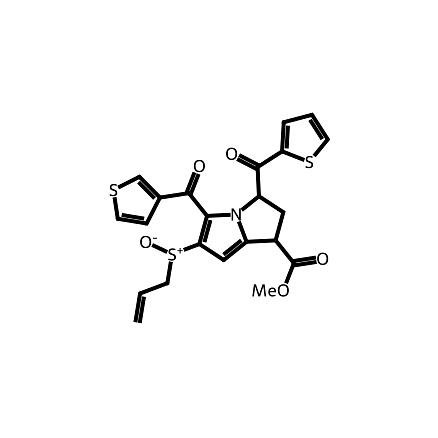 C=CC[S+]([O-])c1cc2n(c1C(=O)c1ccsc1)C(C(=O)c1cccs1)CC2C(=O)OC